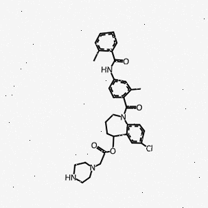 Cc1ccccc1C(=O)Nc1ccc(C(=O)N2CCCC(OC(=O)CN3CCNCC3)c3cc(Cl)ccc32)c(C)c1